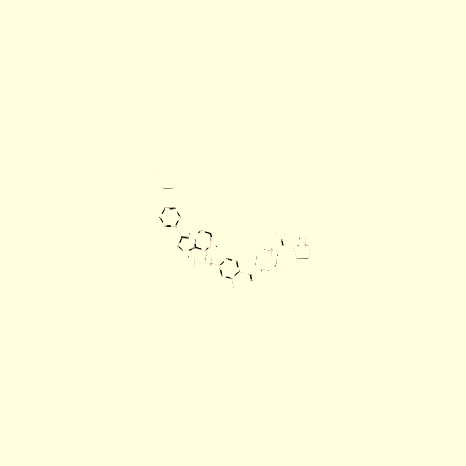 Cc1cc(Nc2nccn3c(-c4ccc(OC(F)F)cc4)cnc23)ccc1C(=O)N1CCN(C(=O)[C@H]2NCC[C@H]2O)CC1